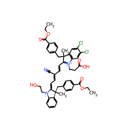 CCOC(=O)c1ccc(CC2(C)C(/C=C/C(C#N)=C/C=C3/N(CCO)c4ccccc4C3(C)Cc3ccc(C(=O)OCC)cc3)=[N+](CCC(=O)O)c3cc(Cl)c(Cl)cc32)cc1